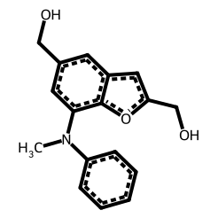 CN(c1ccccc1)c1cc(CO)cc2cc(CO)oc12